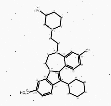 CCCC1CCCN(CCN2CCn3c(c(C4CCCCC4)c4ccc(C(=O)O)cc43)-c3ccc(Cl)cc32)C1